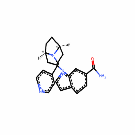 NC(=O)c1ccc2ccn(C3C[C@H]4CC[C@@H](C3)N4Cc3ccncc3)c2c1